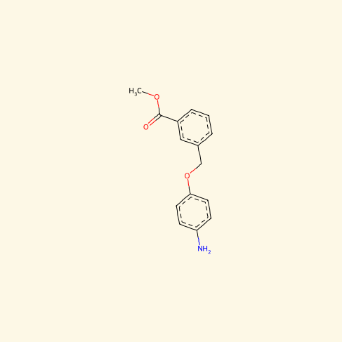 COC(=O)c1cccc(COc2ccc(N)cc2)c1